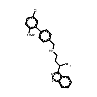 COc1ccc(Cl)cc1-c1ccc(CNCCC(N)c2nsc3ccccc23)cc1